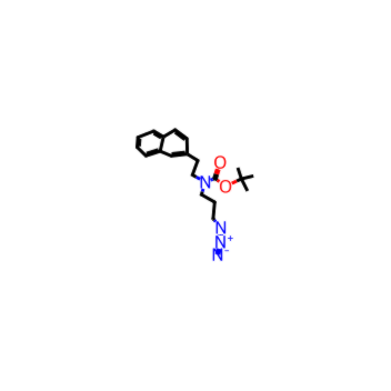 CC(C)(C)OC(=O)N(CCCN=[N+]=[N-])CCc1ccc2ccccc2c1